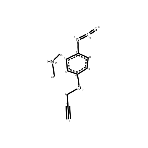 C#CCOc1ccc(N=C=S)cc1.CNC